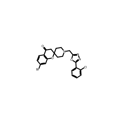 O=C1CC2(CCN(Cc3nnc(-c4ccccc4Cl)o3)CC2)Oc2cc(Br)ccc21